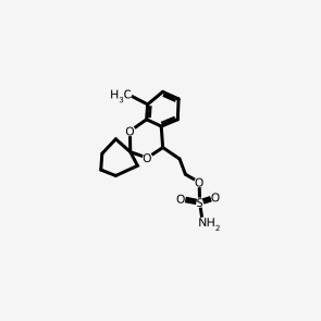 Cc1cccc2c1OC1(CCCCC1)OC2CCOS(N)(=O)=O